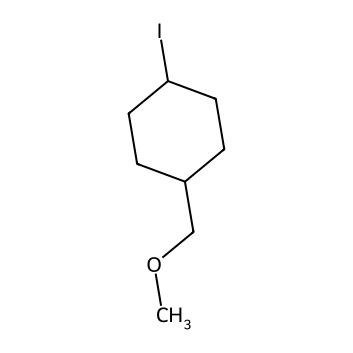 COCC1CCC(I)CC1